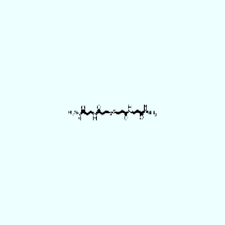 NNC(=O)CCNC(=O)CCSSCCC(=O)NCCC(=O)NN